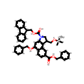 CC(C)(C)[Si](C)(C)OCC1CN(C(=O)OCC2c3ccccc3-c3ccccc32)c2cc(OCc3ccccc3)c3ccc(C(=O)OCc4ccccc4)cc3c21